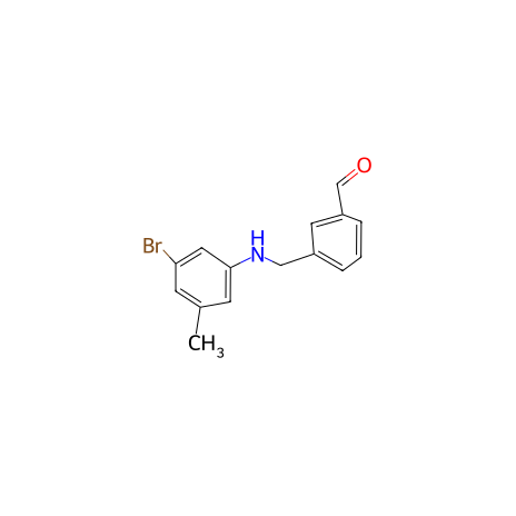 Cc1cc(Br)cc(NCc2cccc(C=O)c2)c1